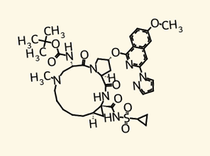 COc1ccc2c(O[C@@H]3C[C@H]4C(=O)N[C@]5(C(=O)NS(=O)(=O)C6CC6)C[C@H]5CCCCCN(C)C[C@H](NC(=O)OC(C)(C)C)C(=O)N4C3)nc(-n3cccn3)cc2c1